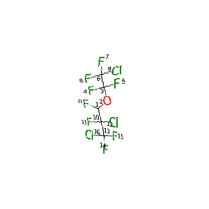 FC(OC(F)(F)C(F)(F)Cl)C(F)(Cl)C(F)(F)Cl